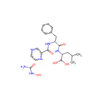 CC(C)CC(NC(=O)C(Cc1ccccc1)NC(=O)c1cnccn1)B(O)O.NC(=O)NO